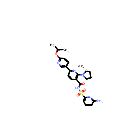 CC(C)Oc1ccc(-c2ccc(C(=O)NS(=O)(=O)c3cccc(N)n3)c(N3CCC[C@H]3C)n2)cn1